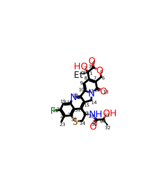 CC[C@@]1(O)C(=O)OCc2c1cc1n(c2=O)Cc2c-1nc1cc(F)c(C)c3c1c2[C@H](NC(=O)[C@H](C)O)CS3